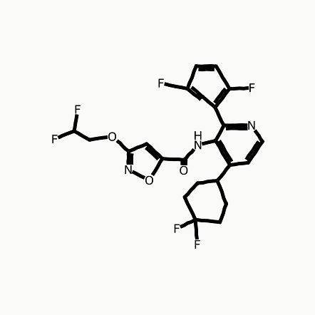 O=C(Nc1c(C2CCC(F)(F)CC2)ccnc1-c1cc(F)ccc1F)c1cc(OCC(F)F)no1